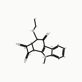 CCOC1C(=O)c2c(n(C)c3ccccc23)C2C(=O)C(=O)C12